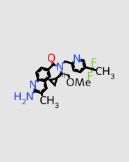 COC[C@@H](C1CC1)N(Cc1ccc(C(C)(F)F)cn1)C(=O)c1ccc2nc(N)c(C)cc2c1